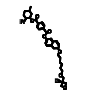 CCC1(COCCCCCCOc2ccc3cc(OC(=O)c4ccc(C(=O)OC5CC(C)CCC5C(C)C)cc4)ccc3c2)COC1